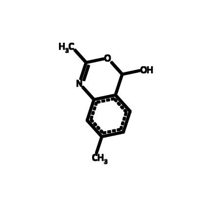 CC1=Nc2cc(C)ccc2C(O)O1